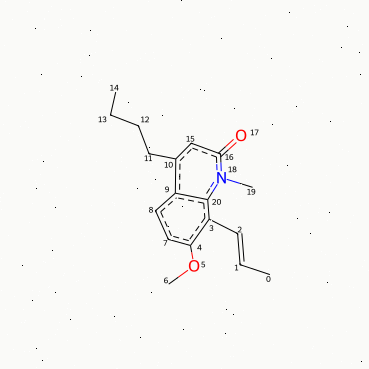 CC=Cc1c(OC)ccc2c(CCCC)cc(=O)n(C)c12